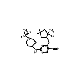 CC1(O)CC(F)(F)CC1Oc1nc(NC2CCN(S(C)(=O)=O)CC2)ncc1C#N